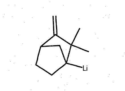 [Li][C]12CCC(C1)C(=C)C2(C)C